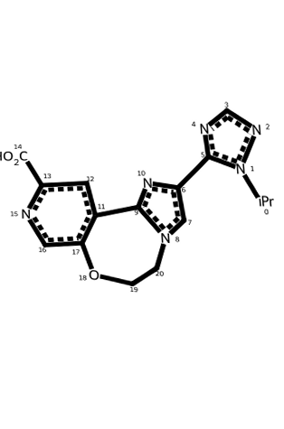 CC(C)n1ncnc1-c1cn2c(n1)-c1cc(C(=O)O)ncc1OCC2